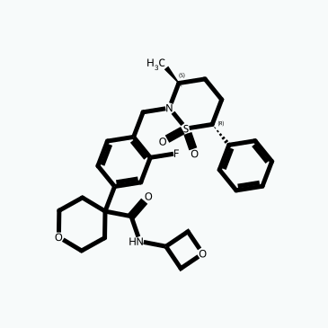 C[C@H]1CC[C@H](c2ccccc2)S(=O)(=O)N1Cc1ccc(C2(C(=O)NC3COC3)CCOCC2)cc1F